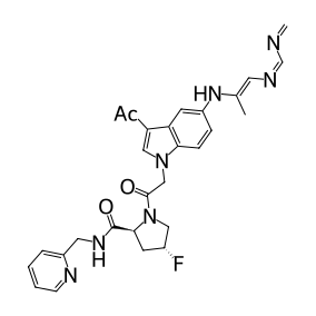 C=N/C=N\C=C(/C)Nc1ccc2c(c1)c(C(C)=O)cn2CC(=O)N1C[C@H](F)C[C@H]1C(=O)NCc1ccccn1